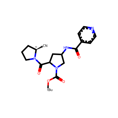 CC(C)(C)OC(=O)N1CC(NC(=O)c2ccncc2)CC1C(=O)N1CCC[C@H]1C#N